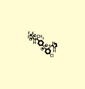 C[C@H](NS(=O)(=O)C(F)(F)F)c1ccc(S(=O)(=O)c2ccc(Cl)cc2Sc2ncc[nH]2)cc1